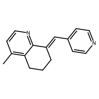 Cc1ccnc2c1CCCC2=Cc1ccncc1